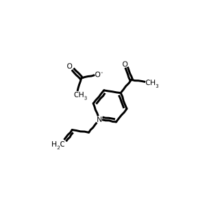 C=CC[n+]1ccc(C(C)=O)cc1.CC(=O)[O-]